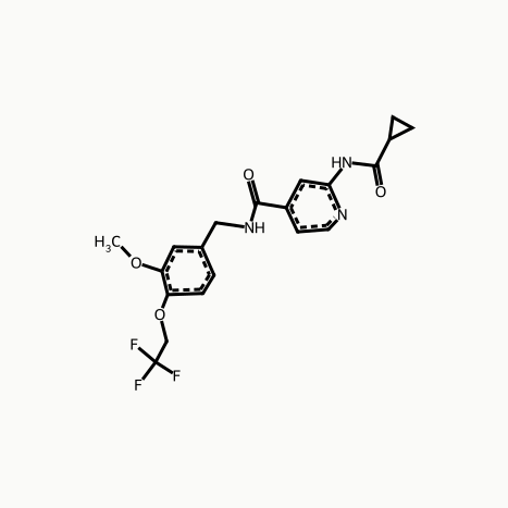 COc1cc(CNC(=O)c2ccnc(NC(=O)C3CC3)c2)ccc1OCC(F)(F)F